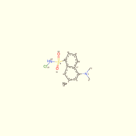 CN(C)c1cccc2c(S(=O)(=O)NCl)cccc12.[Na]